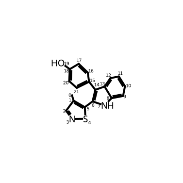 Cc1cnsc1-c1[nH]c2ccccc2c1-c1ccc(O)cc1